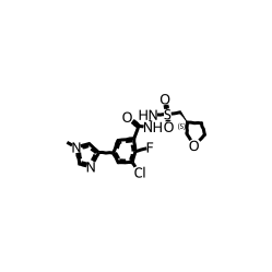 Cn1cnc(-c2cc(Cl)c(F)c(C(=O)NNS(=O)(=O)C[C@H]3CCOC3)c2)c1